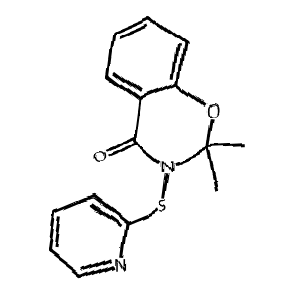 CC1(C)Oc2ccccc2C(=O)N1Sc1ccccn1